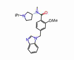 COc1cc(Cn2cnc3ccccc32)ccc1C(=O)N(C)[C@@H]1CCN(C(C)C)C1